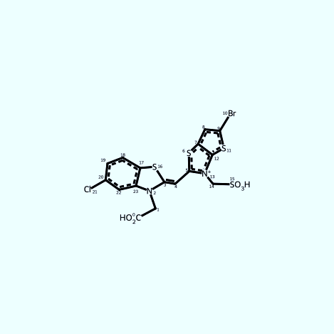 O=C(O)CN1/C(=C/c2sc3cc(Br)sc3[n+]2CS(=O)(=O)O)Sc2ccc(Cl)cc21